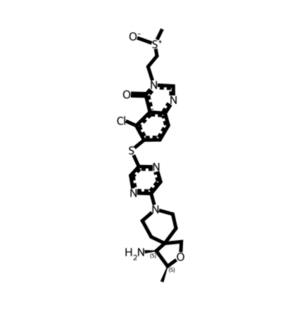 C[C@@H]1OCC2(CCN(c3cnc(Sc4ccc5ncn(CC[S+](C)[O-])c(=O)c5c4Cl)cn3)CC2)[C@@H]1N